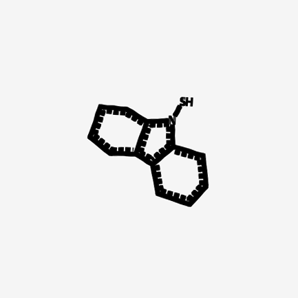 Sn1c2ccccc2c2ccccc21